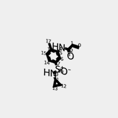 C=CC(=O)Nc1cc([S+]([O-])NC2CC2)ccc1C